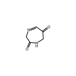 O=C1C=NCC(=O)NC1